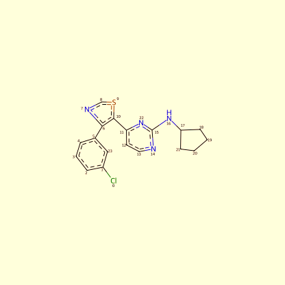 Clc1cccc(-c2ncsc2-c2ccnc(NC3CCCC3)n2)c1